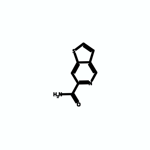 NC(=O)c1cc2sccc2cn1